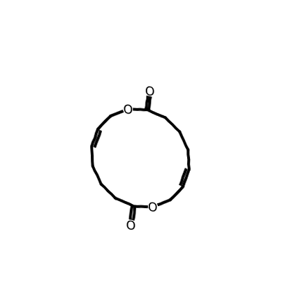 O=C1CCCC=CCOC(=O)CCCC=CCO1